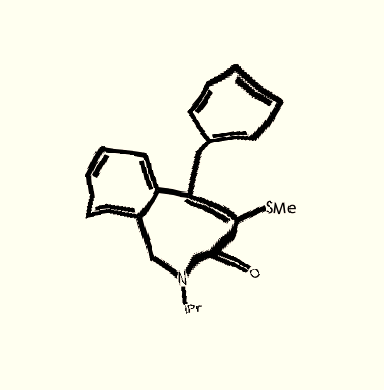 CSC1=C(c2ccccc2)c2ccccc2CN(C(C)C)C1=O